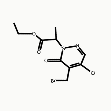 CCOC(=O)C(C)n1ncc(Cl)c(CBr)c1=O